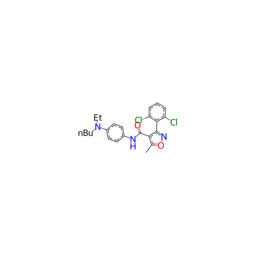 CCCCN(CC)c1ccc(NC(=O)c2c(-c3c(Cl)cccc3Cl)noc2C)cc1